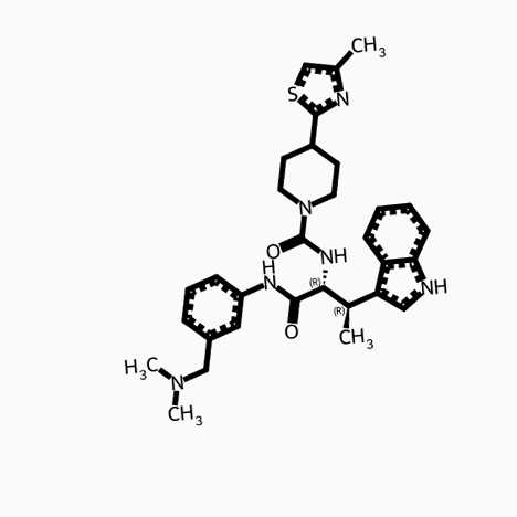 Cc1csc(C2CCN(C(=O)N[C@@H](C(=O)Nc3cccc(CN(C)C)c3)[C@H](C)c3c[nH]c4ccccc34)CC2)n1